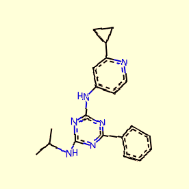 CC(C)Nc1nc(Nc2ccnc(C3CC3)c2)nc(-c2ccccc2)n1